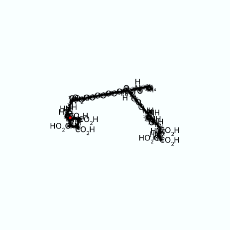 N=N/C(=C\NCCOCCOCCOCCC(=O)N[C@@H](CCCCNC(=O)CCCc1ccc(I)cc1)C(=O)NCCOCCOCCOCCOCCOCCOCCOCCOCCC(=O)N[C@@H](CCCCNC(=S)Nc1ccc(CC2CN(CC(=O)O)CCN(CC(=O)O)CCN(CC(=O)O)CCN2CC(=O)O)cc1)C(=O)O)c1cccc(NC(=O)NCCCC[C@H](NC(=O)N[C@@H](CCC(=O)O)C(=O)O)C(=O)O)c1